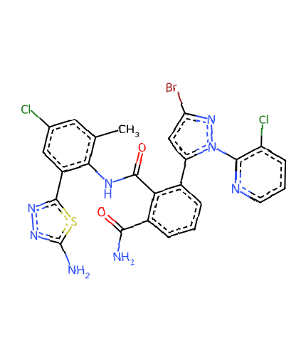 Cc1cc(Cl)cc(-c2nnc(N)s2)c1NC(=O)c1c(C(N)=O)cccc1-c1cc(Br)nn1-c1ncccc1Cl